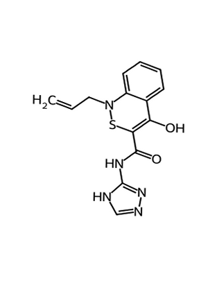 C=CCN1SC(C(=O)Nc2nnc[nH]2)=C(O)c2ccccc21